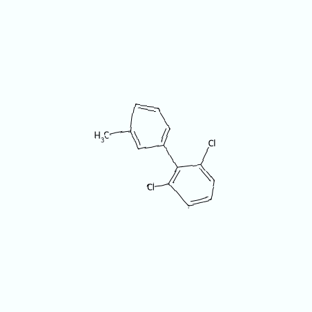 Cc1cccc(-c2c(Cl)[c]ccc2Cl)c1